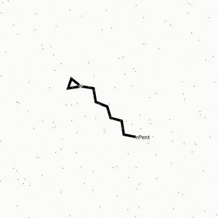 CCCCCCCCCCCN1CC1